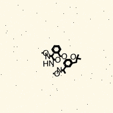 CNC(=O)/C(=N/OC)c1ccccc1COc1cc(/C(C)=N/OC)cc2c1OC(C)(C)C2